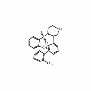 Cc1cnccc1-c1cccc(C2CNCCN2S(=O)(=O)c2ccccc2C)c1